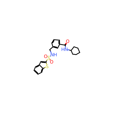 O=C(NC1CCCCC1)c1cccc(CNS(=O)(=O)c2cc3ccccc3s2)c1